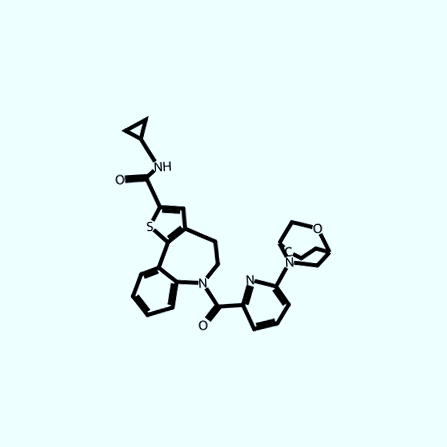 O=C(NC1CC1)c1cc2c(s1)-c1ccccc1N(C(=O)c1cccc(N3CC4CCCC3CO4)n1)CC2